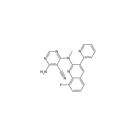 CN(c1nc2c(F)cccc2cc1-c1ccccn1)c1ncnc(N)c1C#N